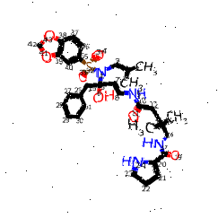 CC(C)CN(C(O)(CCNC(=O)CC(C)(C)CNC(=O)C1CCCN1)Cc1ccccc1)S(=O)(=O)c1ccc2c(c1)OCO2